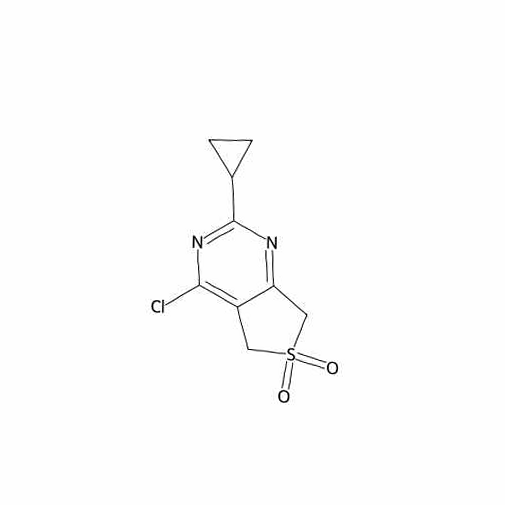 O=S1(=O)Cc2nc(C3CC3)nc(Cl)c2C1